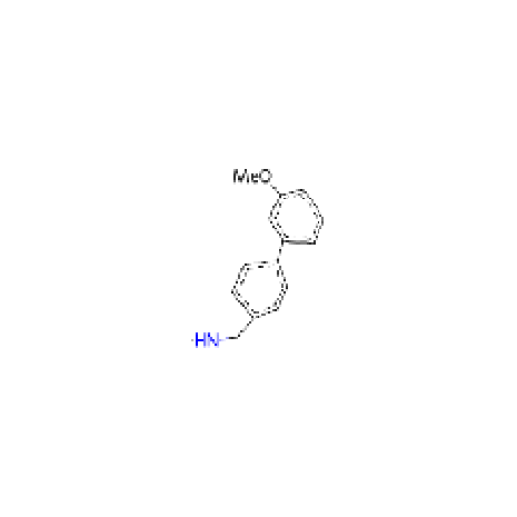 COc1cccc(-c2ccc(C[NH])cc2)c1